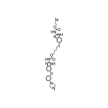 CN(C)CCOC(=O)Nc1nc2cc(SCCCCOC(=O)Nc3nc4ccc(Oc5cccc(N6CCN(C)CC6)c5)cc4[nH]3)ccc2[nH]1